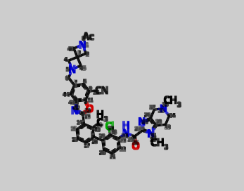 CC(=O)N1CC2(CN(Cc3cc(C#N)c4oc(-c5cccc(-c6cccc(NC(=O)c7nc8c(n7C)CCN(C)C8)c6Cl)c5C)nc4c3)C2)C1